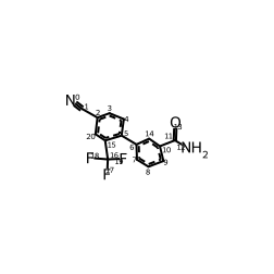 N#Cc1ccc(-c2cccc(C(N)=O)c2)c(C(F)(F)F)c1